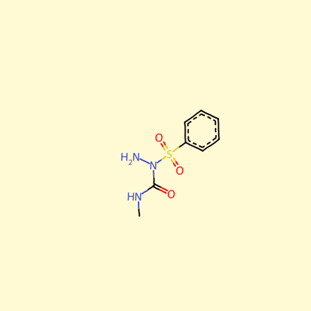 CNC(=O)N(N)S(=O)(=O)c1ccccc1